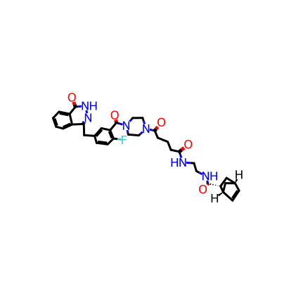 O=C(CCCC(=O)N1CCN(C(=O)c2cc(Cc3n[nH]c(=O)c4ccccc34)ccc2F)CC1)NCCNC(=O)[C@@H]1C[C@@H]2C=C[C@H]1C2